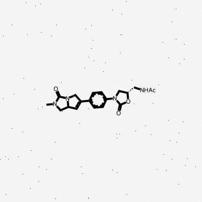 CC(=O)NC[C@H]1CN(c2ccc(C3=CC4CN(C)C(=O)N4C3)cc2)C(=O)O1